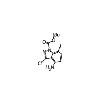 CC(C)(C)OC(=O)n1nc(Cl)c2c(N)ccc(I)c21